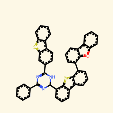 c1ccc(C2=NC(c3cccc4c3sc3c(-c5cccc6c5oc5ccccc56)cccc34)NC(c3ccc4c(c3)sc3ccccc34)=N2)cc1